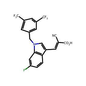 N#C/C(=C\c1cn(Cc2cc(C(F)(F)F)cc(C(F)(F)F)c2)c2cc(F)ccc12)C(=O)O